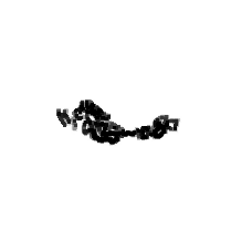 CC(C)C(OC(=O)N(C)C(C)(C)C)n1c(=O)ccc2ccc(OCCCCN3CCN(c4cccc(Cl)c4Cl)CC3)cc21